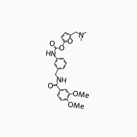 COc1ccc(C(=O)NCc2cccc(NC(=O)Oc3ccc(CN(C)C)o3)c2)cc1OC